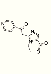 CCn1c([N+](=O)[O-])cnc1C[S+]([O-])c1ccncc1